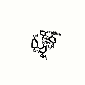 CNc1ccc(N)cc1-c1c(OC)cccc1OC.CNc1ccc(N)cc1-c1cc(O)ccc1N